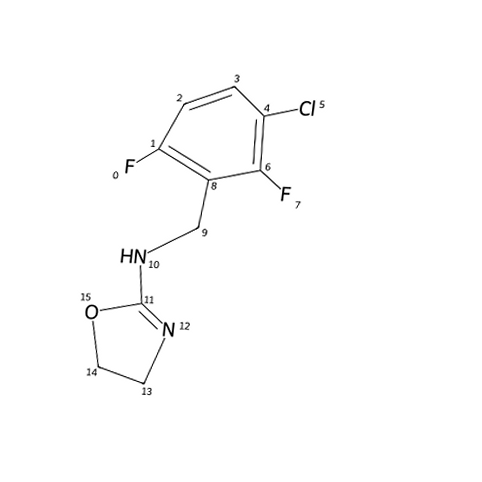 Fc1ccc(Cl)c(F)c1CNC1=NCCO1